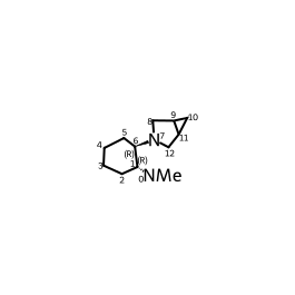 CN[C@@H]1CCCC[C@H]1N1CC2CC2C1